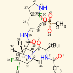 CC(C)(C)[C@@H](NC(=O)C(F)(F)F)C(=O)N1[C@@H]2CC[C@H]([C@@H]1C(=O)N[C@@H](/C=C(\F)S(C)(=O)=O)C[C@@H]1CCNC1=O)C(F)(F)C2